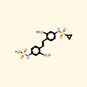 CS(=O)(=O)Nc1ccc(/C=C/c2ccc(NS(=O)(=O)C3CC3)cc2S(=O)(=O)O)c(S(=O)(=O)O)c1